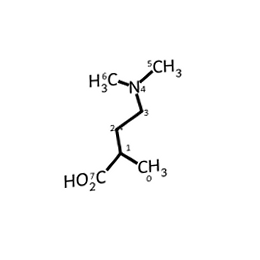 CC([CH]CN(C)C)C(=O)O